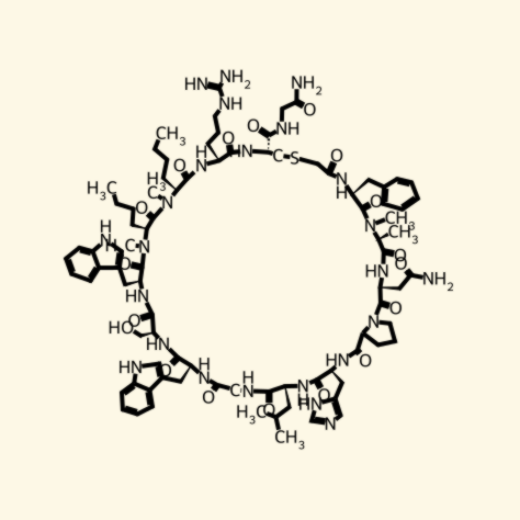 CCCC[C@H]1C(=O)N(C)[C@@H](CCCC)C(=O)N[C@@H](CCCNC(=N)N)C(=O)N[C@H](C(=O)NCC(N)=O)CSCC(=O)N[C@@H](Cc2ccccc2)C(=O)N(C)[C@@H](C)C(=O)N[C@@H](CC(N)=O)C(=O)N2CCCC2C(=O)N[C@@H](Cc2cnc[nH]2)C(=O)N[C@@H](CC(C)C)C(=O)NCC(=O)N[C@@H](Cc2c[nH]c3ccccc23)C(=O)N[C@@H](CO)C(=O)N[C@@H](Cc2c[nH]c3ccccc23)C(=O)N1C